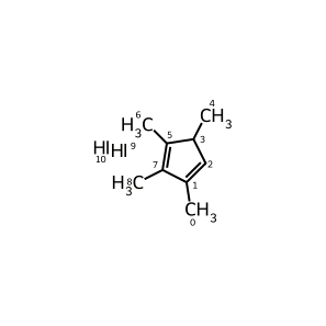 CC1=CC(C)C(C)=C1C.I.I